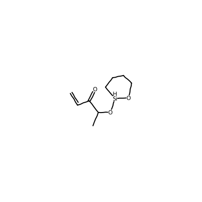 C=CC(=O)C(C)O[SiH]1CCCCO1